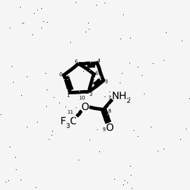 C1=CC2=CC=C1C2.NC(=O)OC(F)(F)F